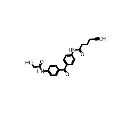 C#CCCCC(=O)Nc1ccc(C(=O)c2ccc(NC(=O)CO)cc2)cc1